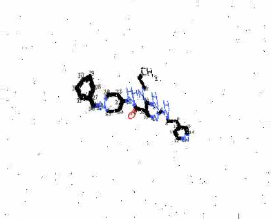 CCCNC1NC(NCCc2ccncc2)=NC=C1C(=O)NC1CCN(Cc2ccccc2)CC1